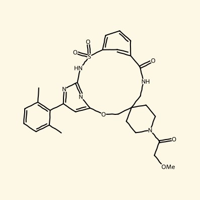 COCC(=O)N1CCC2(CC1)CNC(=O)c1cccc(c1)S(=O)(=O)Nc1nc(cc(-c3c(C)cccc3C)n1)OC2